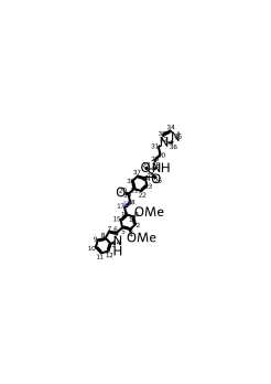 COc1cc(OC)c(-c2cc3ccccc3[nH]2)cc1/C=C/C(=O)c1ccc(S(=O)(=O)NCCCn2ccnc2)cc1